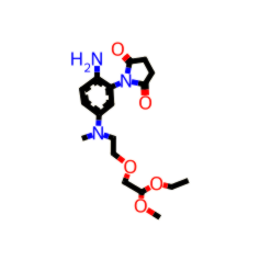 CCOC(COCCN(C)c1ccc(N)c(N2C(=O)CCC2=O)c1)OC